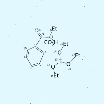 CCC(C(=O)O)C(=O)c1ccccc1.CC[O][Ti]([O]CC)[O]CC